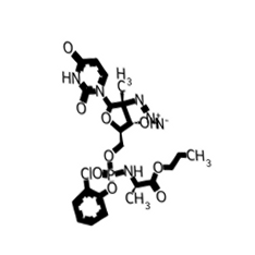 CCCOC(=O)[C@H](C)NP(=O)(OC[C@H]1OC(n2ccc(=O)[nH]c2=O)[C@](C)(N=[N+]=[N-])[C@@H]1O)Oc1ccccc1Cl